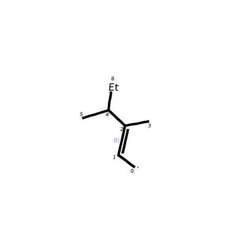 [CH2]/C=C(\C)C(C)CC